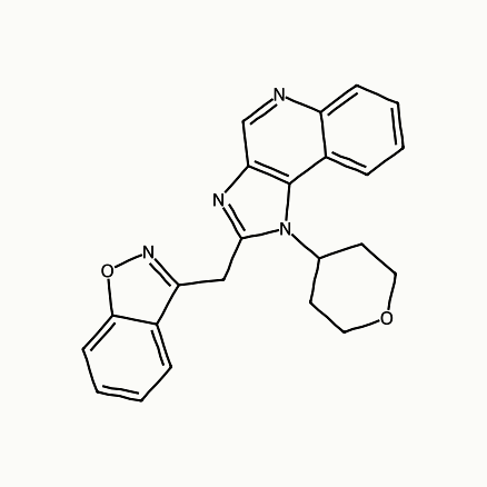 c1ccc2c(c1)ncc1nc(Cc3noc4ccccc34)n(C3CCOCC3)c12